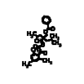 Cc1cc(C)c(C(=O)C(=O)OCC(COC(=O)c2ccccc2)(CC(C)C)CC(C)C)c(C)c1